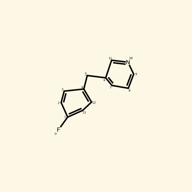 Fc1ccc([CH]c2cccnc2)cc1